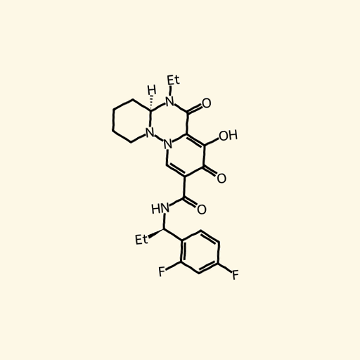 CC[C@@H](NC(=O)c1cn2c(c(O)c1=O)C(=O)N(CC)[C@@H]1CCCCN12)c1ccc(F)cc1F